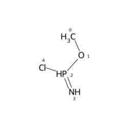 CO[PH](=N)Cl